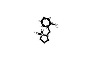 O=S1(=O)CCCC1Cc1ccccc1Br